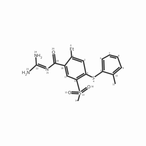 CCc1cc(Sc2ccccc2C)c(S(C)(=O)=O)cc1C(=O)N=C(N)N